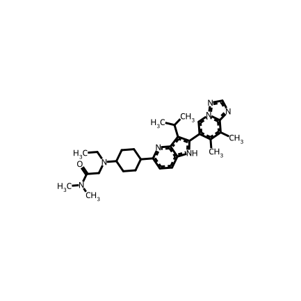 CCN(CC(=O)N(C)C)C1CCC(c2ccc3[nH]c(-c4cn5ncnc5c(C)c4C)c(C(C)C)c3n2)CC1